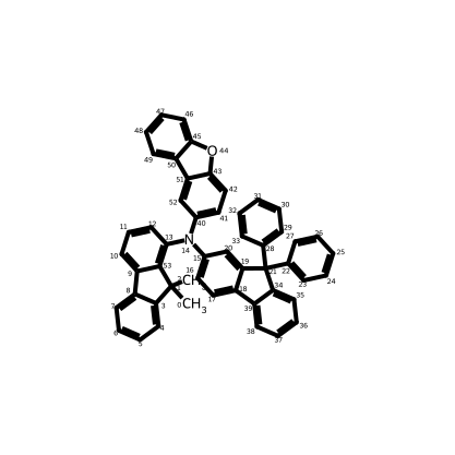 CC1(C)c2ccccc2-c2cccc(N(c3ccc4c(c3)C(c3ccccc3)(c3ccccc3)c3ccccc3-4)c3ccc4oc5ccccc5c4c3)c21